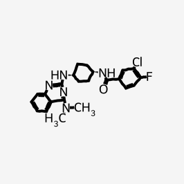 CN(C)c1nc(N[C@H]2CC[C@@H](NC(=O)c3ccc(F)c(Cl)c3)CC2)nc2ccccc12